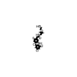 CC(C)(CNC(=O)Cc1cc(Nc2c(Cl)cc(Cl)cc2Cl)ccc1F)OCCO